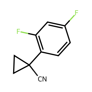 N#CC1(c2ccc(F)cc2F)CC1